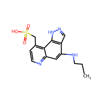 CCCNc1cc2nccc(CS(=O)(=O)O)c2c2[nH]ncc12